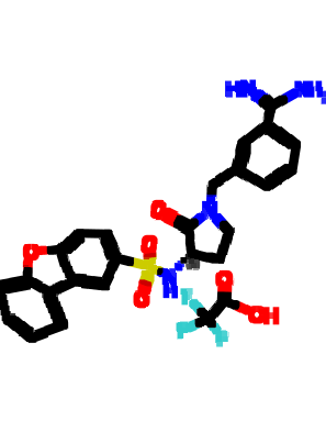 N=C(N)c1cccc(CN2CC[C@H](NS(=O)(=O)c3ccc4oc5ccccc5c4c3)C2=O)c1.O=C(O)C(F)(F)F